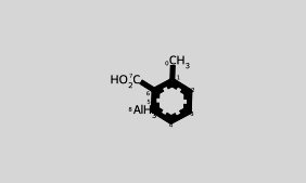 Cc1ccccc1C(=O)O.[AlH3]